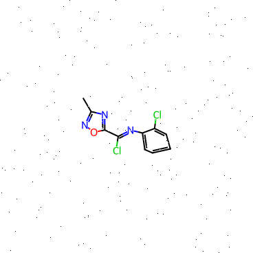 Cc1noc(/C(Cl)=N/c2ccccc2Cl)n1